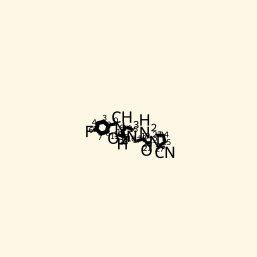 C[C@@H](c1ccc(F)cc1)N1C(=O)[C@@H]2CC1CN2C[C@H](N)C(=O)N1CCC[C@H]1C#N